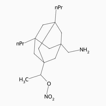 CCCC12CC3(CN)CC(CCC)(C1)CC(C(C)O[N+](=O)[O-])(C3)C2